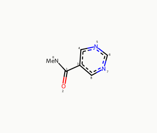 CNC(=O)c1cncnc1